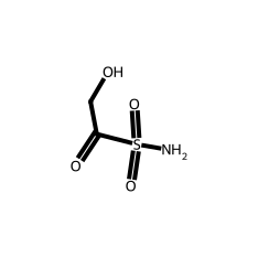 NS(=O)(=O)C(=O)CO